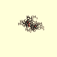 Cc1cc(S(N)(=O)=NC(=O)Nc2c(C(C)C)cc(OC(F)F)cc2C(C)CCC(C)c2cncc(C(C)C)c2NC(=O)N=S(N)(=O)c2sc(C(C)(C)O)cc2F)sc1C(C)(C)O